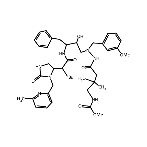 CCC(C)C(C(=O)NC(Cc1ccccc1)C(O)CN(Cc1cccc(OC)c1)NC(=O)CC(C)(C)CNC(=O)OC)C1CNC(=O)N1Cc1cccc(C)n1